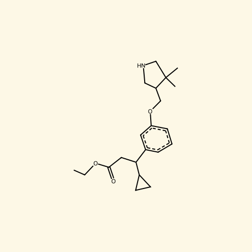 CCOC(=O)CC(c1cccc(OCC2CNCC2(C)C)c1)C1CC1